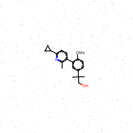 COc1ccc(C(C)(C)CO)cc1-c1ccc(C2CC2)nc1C